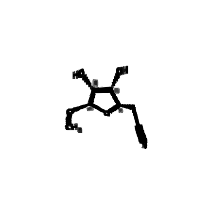 CO[C@@H]1O[C@H](CC#N)[C@@H](O)[C@H]1O